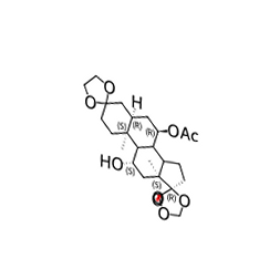 CC(=O)O[C@@H]1C[C@@H]2CC3(CC[C@]2(C)C2C1C1CC[C@@]4(OCOC45COCO5)[C@@]1(C)C[C@@H]2O)OCCO3